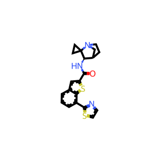 O=C(N[C@@H]1C2CCN(C2)C12CC2)c1cc2cccc(-c3nccs3)c2s1